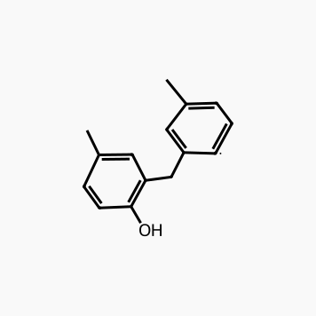 Cc1cc[c]c(Cc2cc(C)ccc2O)c1